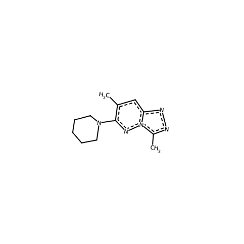 Cc1cc2nnc(C)n2nc1N1CCCCC1